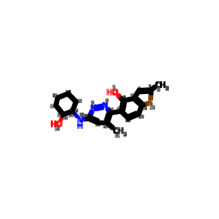 Cc1cc2c(O)c(-c3nnc(N[C@@H]4CCCC[C@@H]4O)cc3C)ccc2s1